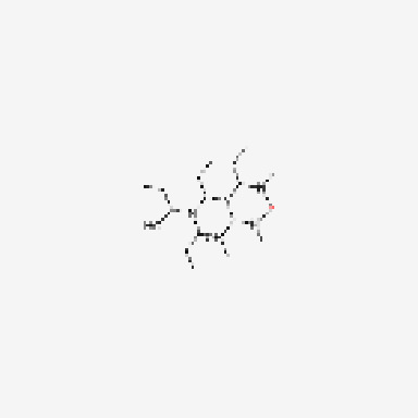 CCC(O)N(C(O)CC)C(CC)N(C(CC)N(C)C)C(CC)N(C)C